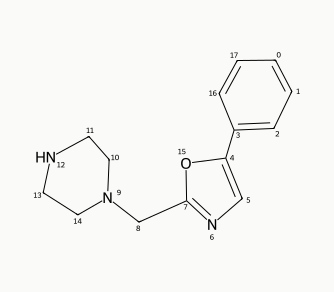 c1ccc(-c2cnc(CN3CCNCC3)o2)cc1